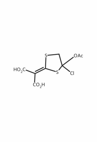 CC(=O)OC1(Cl)CSC(=C(C(=O)O)C(=O)O)S1